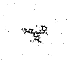 Cc1cccc(C)c1CNc1cc(-n2cc(C(N)=O)cn2)cn2c(C)c(C)nc12